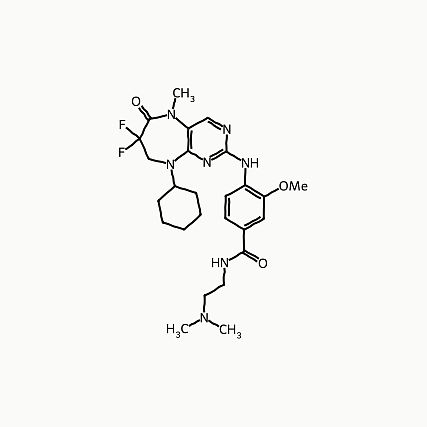 COc1cc(C(=O)NCCN(C)C)ccc1Nc1ncc2c(n1)N(C1CCCCC1)CC(F)(F)C(=O)N2C